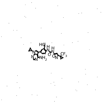 Nc1ncnc2c1c(-c1ccc(NC(=O)Nc3cc(C4(C(F)(F)F)CC4)no3)c(CO)c1)cn2C1CC1